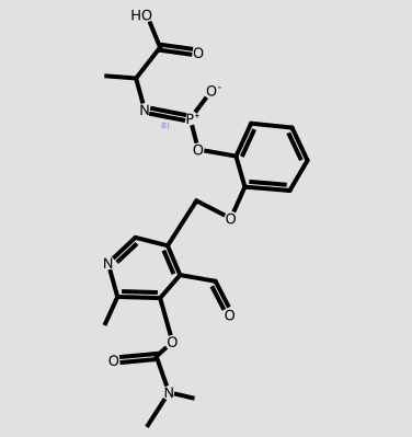 Cc1ncc(COc2ccccc2O/[P+]([O-])=N/C(C)C(=O)O)c(C=O)c1OC(=O)N(C)C